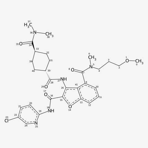 COCCCN(C)C(=O)c1cccc2oc(C(=O)Nc3ccc(Cl)cn3)c(NC(=O)[C@H]3CC[C@H](C(=O)N(C)C)CC3)c12